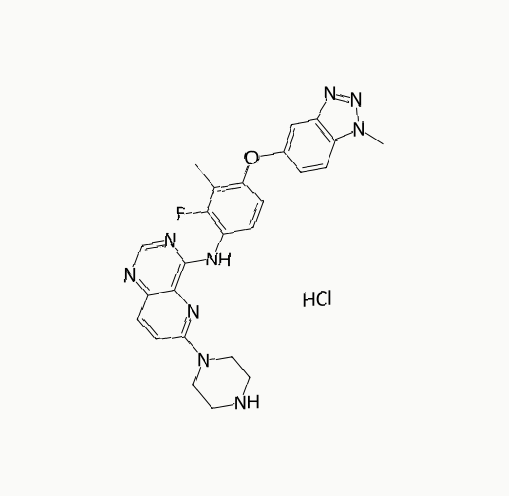 Cc1c(Oc2ccc3c(c2)nnn3C)ccc(Nc2ncnc3ccc(N4CCNCC4)nc23)c1F.Cl